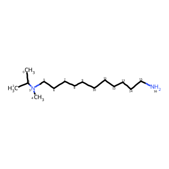 CC(C)N(C)CCCCCCCCCCCN